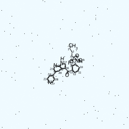 CCCCS(=O)(=O)[NH+]([O-])c1cccc(C(=O)c2c[nH]c3ncc(-c4ccncc4)cc23)c1F